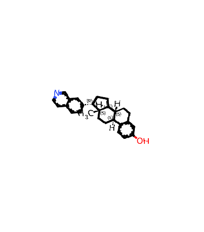 C[C@]12CC[C@@H]3c4ccc(O)cc4CC[C@H]3[C@@H]1CC[C@H]2c1ccc2ccncc2c1